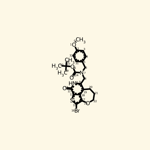 COc1ccc(CN(Cc2[nH]c(=O)c3sc(Br)c4c3c2CCCO4)C(=O)OC(C)(C)C)cc1